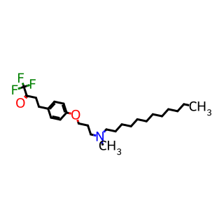 CCCCCCCCCCCCN(C)CCCOc1ccc(CCC(=O)C(F)(F)F)cc1